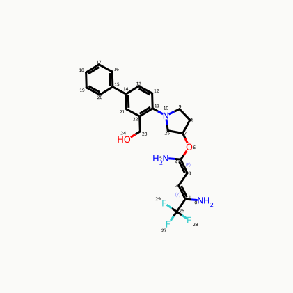 N/C(=C\C=C(/N)OC1CCN(c2ccc(-c3ccccc3)cc2CO)C1)C(F)(F)F